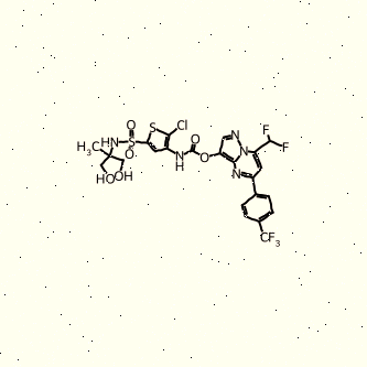 CC(CO)(CO)NS(=O)(=O)c1cc(NC(=O)Oc2cnn3c(C(F)F)cc(-c4ccc(C(F)(F)F)cc4)nc23)c(Cl)s1